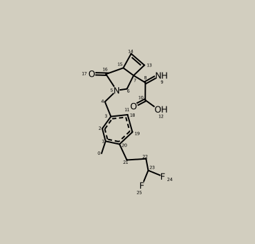 Cc1cc(CN2CC3(C(=N)C(=O)O)C=CC3C2=O)ccc1CCC(F)F